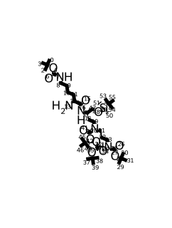 CC(C)(C)OC(=O)NCCCC[C@H](N)C(=O)N[C@@H](CCN(C[C@@H](CNC(=O)OC(C)(C)C)OC(=O)OC(C)(C)C)C(=O)OC(C)(C)C)CO[Si](C)(C)C(C)(C)C